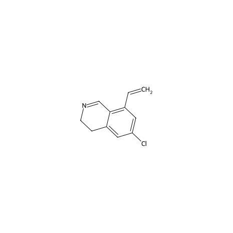 C=Cc1cc(Cl)cc2c1C=NCC2